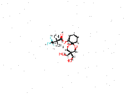 CC(C)(C(=O)OC1CCCCC12OCC(CO)(CO)CO2)C(F)(F)F